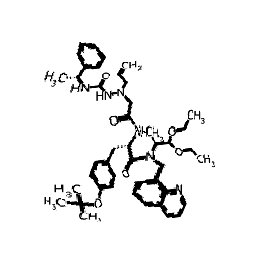 C=CCN(CC(=O)N[C@@H](Cc1ccc(OC(C)(C)C)cc1)C(=O)N(Cc1cccc2cccnc12)[C@@H](C)C(OCC)OCC)NC(=O)N[C@H](C)c1ccccc1